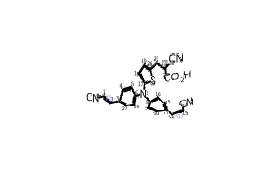 [C-]#[N+]/C=C/c1ccc(N(c2ccc(/C=C\C#N)cc2)c2ccc(CC(C#N)C(=O)O)s2)cc1